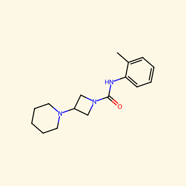 Cc1ccccc1NC(=O)N1CC(N2CCCCC2)C1